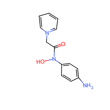 Nc1ccc(N(O)C(=O)C[n+]2ccccc2)cc1